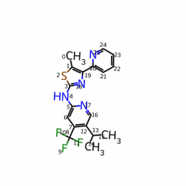 Cc1sc(Nc2cc(C(F)(F)F)c(C(C)C)cn2)nc1-c1ccccn1